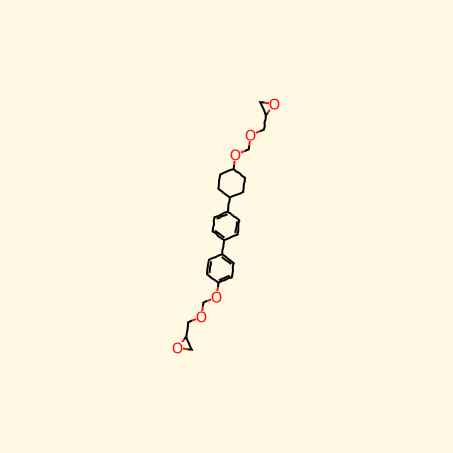 c1cc(-c2ccc(C3CCC(OCOCC4CO4)CC3)cc2)ccc1OCOCC1CO1